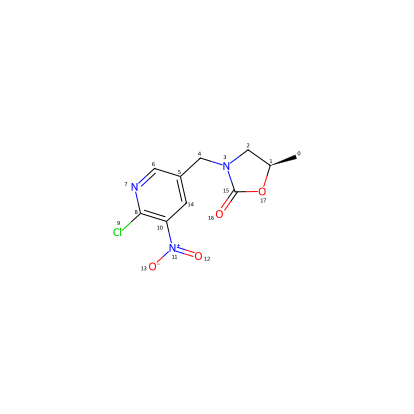 C[C@@H]1CN(Cc2cnc(Cl)c([N+](=O)[O-])c2)C(=O)O1